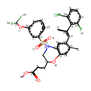 COC(=O)CCC1CN(S(=O)(=O)c2cccc(OC(F)F)c2)c2cc(C=C(C)c3c(F)cccc3Cl)c(C)cc2O1